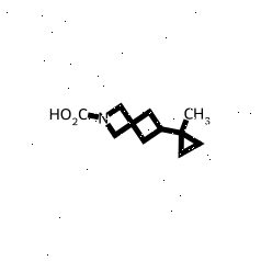 CC1(C2CC3(C2)CN(C(=O)O)C3)CC1